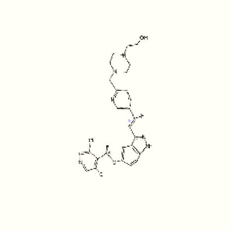 C[C@@H](Oc1ccc2[nH]nc(/C=C(\F)c3ccc(CN4CCN(CCO)CC4)nc3)c2c1)c1c(Cl)cncc1Cl